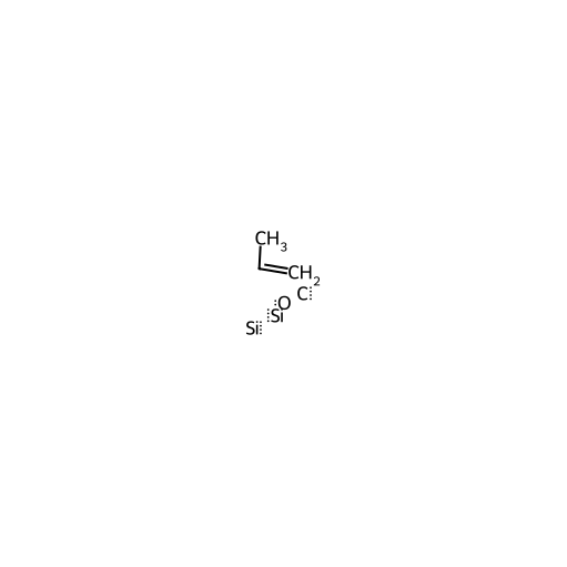 C=CC.[C].[O].[Si].[Si]